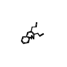 C=CCc1cc2ccccc2nc1CC=C